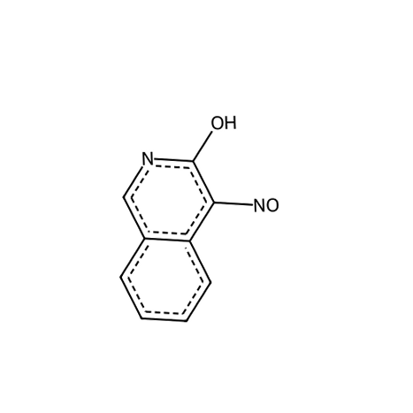 O=Nc1c(O)ncc2ccccc12